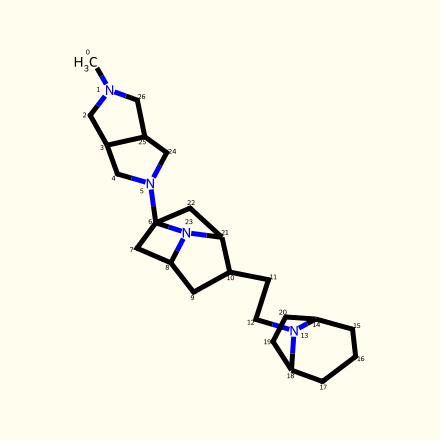 CN1CC2CN(C34CC5CC(CCN6C7CCCC6CC7)C(C3)N54)CC2C1